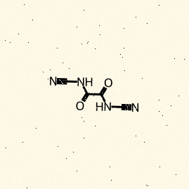 N#CNC(=O)C(=O)NC#N